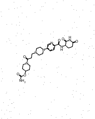 NC(=O)OC1CCN(C(=O)CCN2CCN(c3ccc(C(=O)NC4CCC(=O)NC4=O)nc3)CC2)CC1